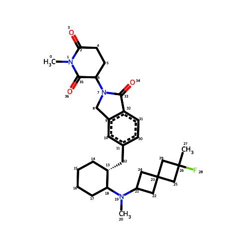 CN1C(=O)CCC(N2Cc3cc(C[C@H]4CCCCC4N(C)C4CC5(C4)CC(C)(F)C5)ccc3C2=O)C1=O